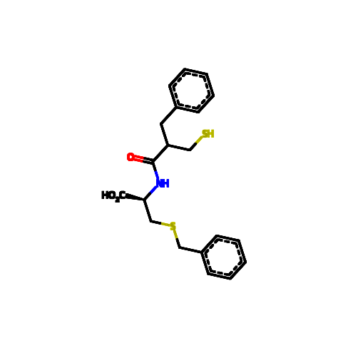 O=C(N[C@@H](CSCc1ccccc1)C(=O)O)C(CS)Cc1ccccc1